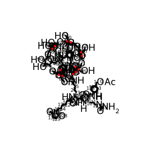 CC(=O)OCc1ccc(NC(=O)[C@H](CCCNC(N)=O)NC(=O)C(C(C)C)[C@@H](CCCCNC(=O)CCC(=O)N2Cc3ccccc3-c3nnn(CC4OC5OC6C(CO)OC(OC7C(CO)OC(OC8C(CO)OC(OC9C(CO)OC(OC%10C(CO)OC(OC4C(O)C5O)C(O)C%10O)C(O)C9O)C(O)C8O)C(O)C7O)C(O)C6O)c3-c3ccccc32)NC(=O)CCCCCN2C(=O)C=CC2=O)cc1